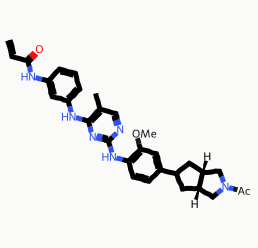 C=CC(=O)Nc1cccc(Nc2nc(Nc3ccc(C4C[C@@H]5CN(C(C)=O)C[C@@H]5C4)cc3OC)ncc2C)c1